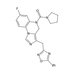 CC(C)c1nc(Cc2ncn3c2CN(C(=O)N2CCCC2)c2cc(F)ccc2-3)no1